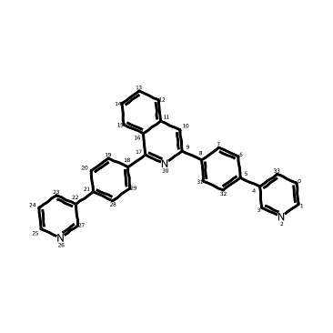 c1cncc(-c2ccc(-c3cc4ccccc4c(-c4ccc(-c5cccnc5)cc4)n3)cc2)c1